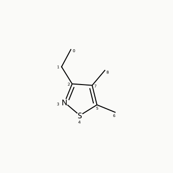 CCc1nsc(C)c1C